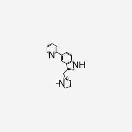 CN1CCC[C@@H]1Cc1c[nH]c2ccc(-c3ccccn3)cc12